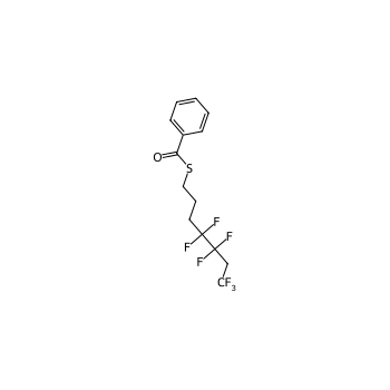 O=C(SCCCC(F)(F)C(F)(F)CC(F)(F)F)c1ccccc1